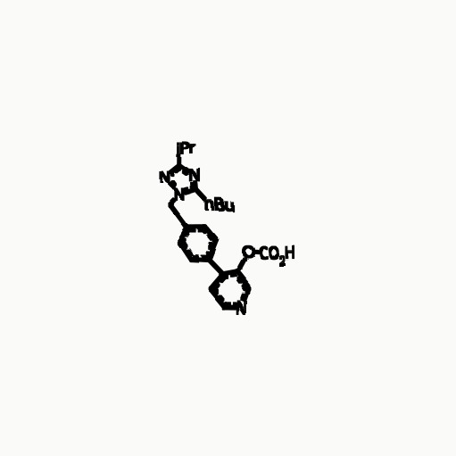 CCCCc1nc(C(C)C)nn1Cc1ccc(-c2ccncc2OC(=O)O)cc1